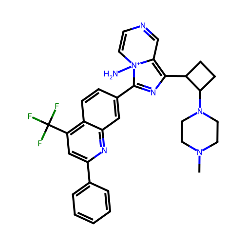 CN1CCN(C2CCC2C2=C3C=NC=C[N+]3(N)C(c3ccc4c(C(F)(F)F)cc(-c5ccccc5)nc4c3)=N2)CC1